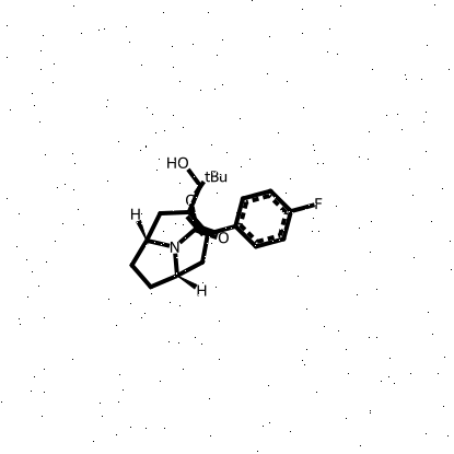 CC(C)(C)OC(=O)N1[C@@H]2CC[C@H]1CC(c1ccc(F)cc1)=C(CO)C2